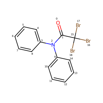 O=C(N(c1ccccc1)c1ccccc1)C(Br)(Br)Br